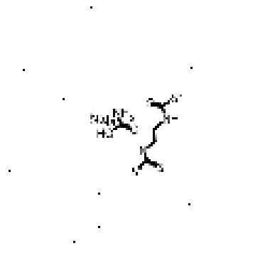 NC(=O)O.S=C([S-])NCCNC(=S)[S-].[Na+].[Na+]